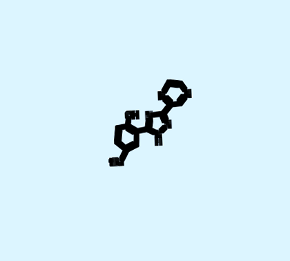 CC(C)(C)c1ccc(O)c(-c2nc(-c3cnccn3)n[nH]2)c1